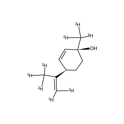 [2H]C([2H])=C([C@H]1C=C[C@](O)(C([2H])([2H])[2H])CC1)C([2H])([2H])[2H]